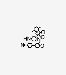 CN[C@H]1CC[C@@H](N(Cc2cc(-c3ccc(C#N)cc3)ccc2OC)C(=O)c2sc3c(C)ccc(C)c3c2Cl)CC1